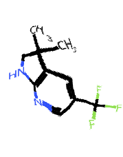 CC1(C)CNc2ncc(C(F)(F)F)cc21